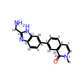 Cn1ccc2ccc(-c3ccc4nc(CN)[nH]c4c3)cc2c1=O